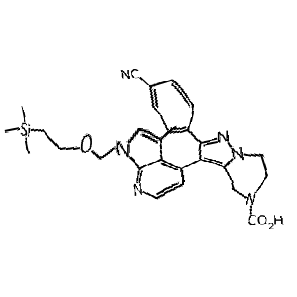 Cc1cn(COCC[Si](C)(C)C)c2nccc(-c3c(-c4ccc(C#N)cc4)nn4c3CN(C(=O)O)CC4)c12